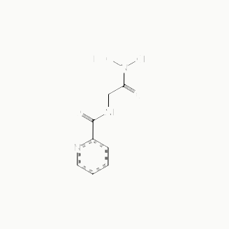 CN(C)C(=O)CNC(=O)c1ccccn1